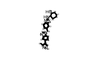 Cc1nn(C)cc1-c1ccc2c(c1)ncn2Cc1ccc2nc(N[C@@H]3CCCC[C@H]3O)sc2c1